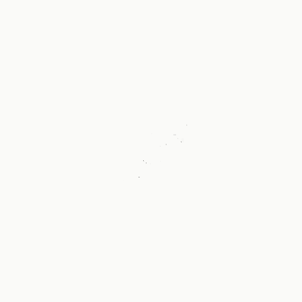 CC(=O)NC[C@@H]1CCCCN1